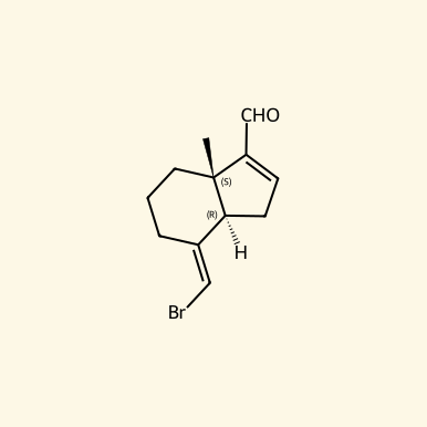 C[C@]12CCCC(=CBr)[C@@H]1CC=C2C=O